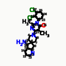 Cc1c(N2CCC3(CC2)Cc2ncccc2[C@@H]3N)nc(C)n(-c2cccc(Cl)c2Cl)c1=O